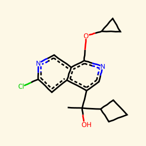 CC(O)(c1cnc(OC2CC2)c2cnc(Cl)cc12)C1CCC1